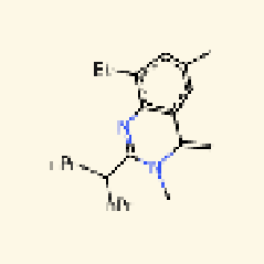 C=C1c2cc(C)cc(CC)c2N=C(C(CCC)CCC)N1C